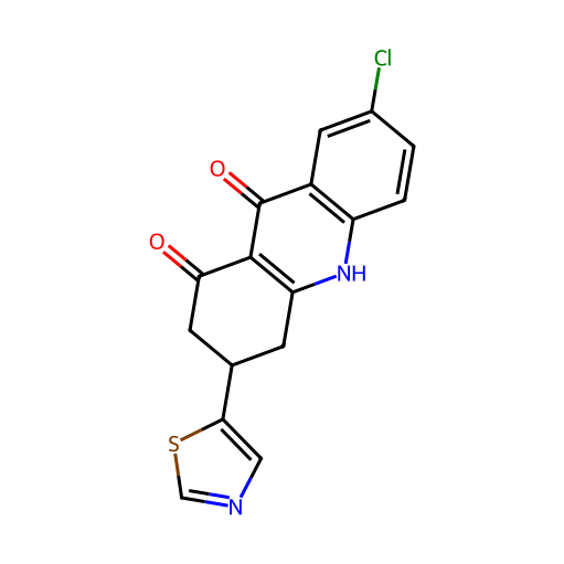 O=C1CC(c2cncs2)Cc2[nH]c3ccc(Cl)cc3c(=O)c21